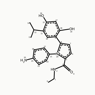 CCNC(=O)c1ccc(-c2cc(C(C)C)c(O)cc2O)n1-c1ccc(N)cc1